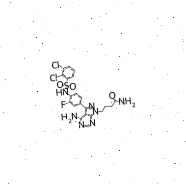 NC(=O)CCCn1nc(-c2ccc(NS(=O)(=O)c3cccc(Cl)c3Cl)c(F)c2)c2c(N)ncnc21